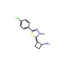 CN1N=C(c2ccc(Cl)cc2)SC1=C1CCC1N